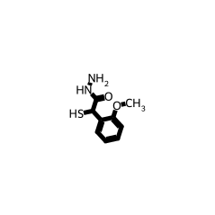 COc1ccccc1C(S)C(=O)NN